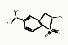 CCN1Cc2cc(B(O)O)ccc2S1(=O)=O